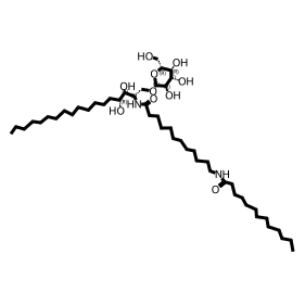 CCCCCCCCCCCCCC[C@@H](O)[C@@H](O)[C@H](CO[C@H]1O[C@H](CO)[C@H](O)[C@H](O)[C@H]1O)NC(=O)CCCCCCCCCCCNC(=O)CCCCCCCCCCCC